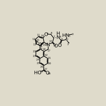 CN[C@@H](C)C(=O)N[C@H]1COc2ccccc2N(Cc2c(OC)ccc3cc(C(=O)O)ccc23)C1=O